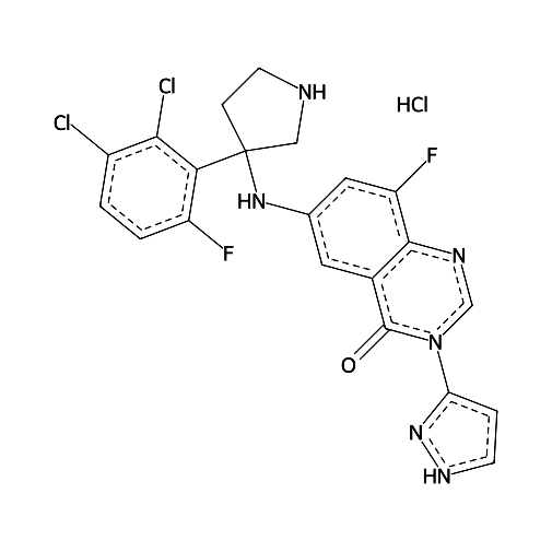 Cl.O=c1c2cc(NC3(c4c(F)ccc(Cl)c4Cl)CCNC3)cc(F)c2ncn1-c1cc[nH]n1